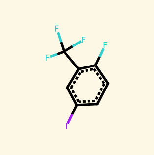 Fc1ccc(I)cc1C(F)(F)F